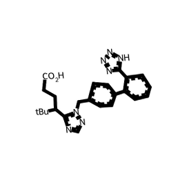 CC(C)(C)C(CCC(=O)O)c1ncnn1Cc1ccc(-c2ccccc2-c2nnn[nH]2)cc1